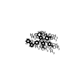 CC(C)(C)c1ccc(N2c3cc(C(C)(C)C)ccc3B3c4cc5c(cc4N(c4ccc(-c6cccc7c6oc6ccccc67)cc4)c4cc(C(C)(C)C)cc2c43)C(C)(C)CCC5(C)C)cc1